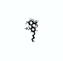 CCCCCc1cc(O)c2c(c1)OC(C)[C@@H]1CCC(C)=CC21